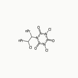 CCCC(Cl)C(CCC)n1c(=O)n(Cl)c(=O)n(Cl)c1=O